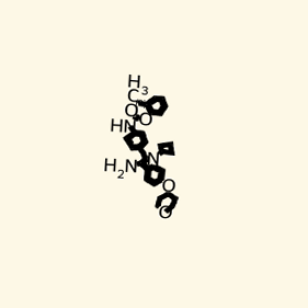 C[C@@H](OC(=O)Nc1ccc(-c2c(N)c3ccc(OC4CCOCC4)cc3n2C2CCC2)cc1)c1ccccc1